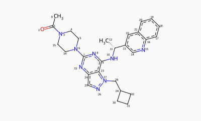 CC(=O)N1CCN(c2nc(N[C@H](C)c3cnc4ccccc4c3)c3c(cnn3CC3CCC3)n2)CC1